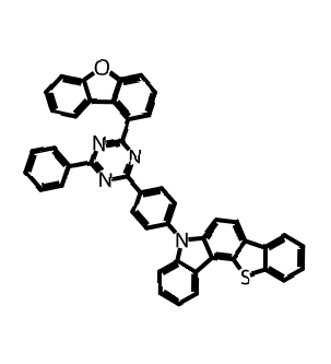 c1ccc(-c2nc(-c3ccc(-n4c5ccccc5c5c6sc7ccccc7c6ccc54)cc3)nc(-c3cccc4oc5ccccc5c34)n2)cc1